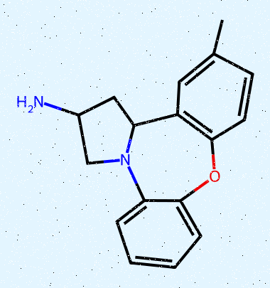 Cc1ccc2c(c1)C1CC(N)CN1c1ccccc1O2